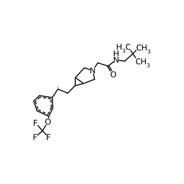 CC(C)(C)CNC(=O)CN1CC2C(C[CH]c3cccc(OC(F)(F)F)c3)C2C1